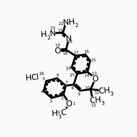 COc1ccccc1C1=CC(C)(C)Oc2ccc(C(=O)N=C(N)N)cc21.Cl